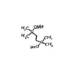 CO[Si](C)(C)CC[Si](C)(C)OC